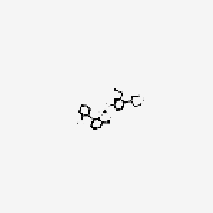 COc1ccccc1-c1cccc2cnc(Nc3ccc(C4CCNCC4)c4c3OC(C)(C)C4)nc12